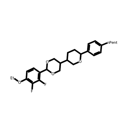 CCCCCc1ccc(C2CCC(C3COC(c4ccc(OCC)c(F)c4F)OC3)CO2)cc1